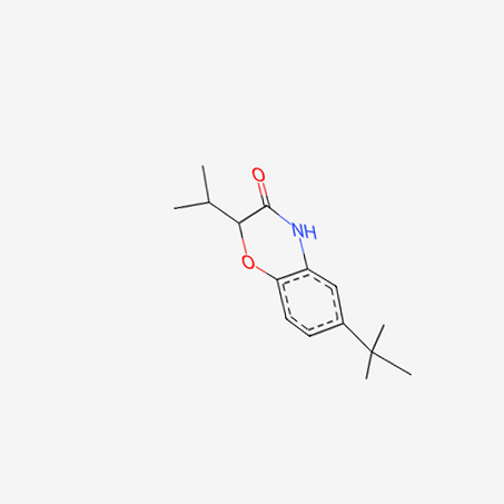 CC(C)C1Oc2ccc(C(C)(C)C)cc2NC1=O